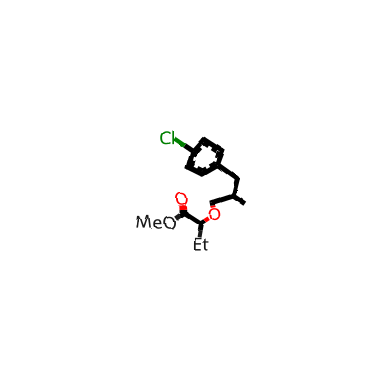 CCC(OCC(C)Cc1ccc(Cl)cc1)C(=O)OC